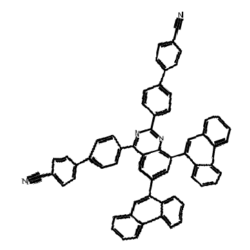 N#Cc1ccc(-c2ccc(-c3nc(-c4ccc(-c5ccc(C#N)cc5)cc4)c4cc(-c5cc6ccccc6c6ccccc56)cc(-c5cc6ccccc6c6ccccc56)c4n3)cc2)cc1